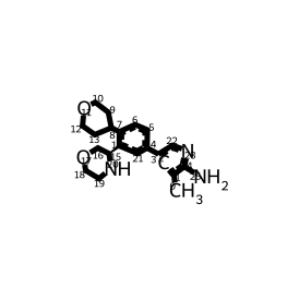 Cc1cc(-c2ccc(C3CCOCC3)c([C@@H]3COCCN3)c2)cnc1N